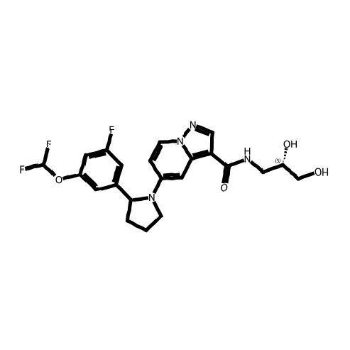 O=C(NC[C@H](O)CO)c1cnn2ccc(N3CCCC3c3cc(F)cc(OC(F)F)c3)cc12